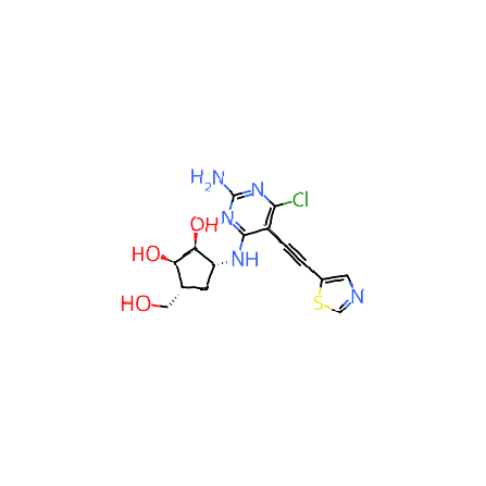 Nc1nc(Cl)c(C#Cc2cncs2)c(N[C@@H]2C[C@H](CO)[C@@H](O)[C@H]2O)n1